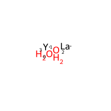 O.O.[La].[Y]